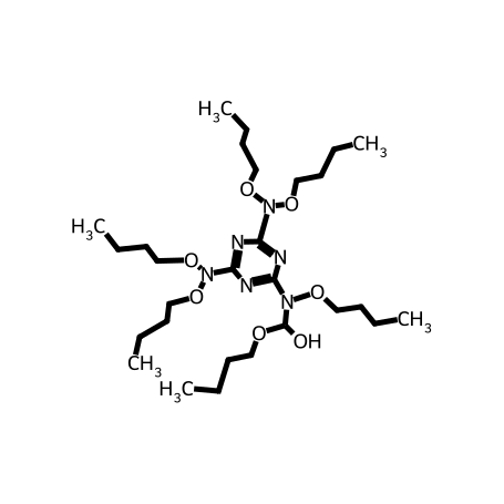 CCCCOC(O)N(OCCCC)c1nc(N(OCCCC)OCCCC)nc(N(OCCCC)OCCCC)n1